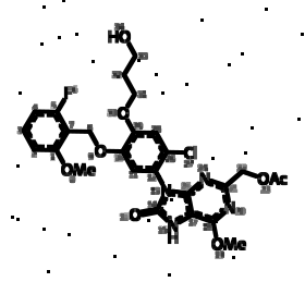 COc1cccc(F)c1COc1cc(-n2c(=O)[nH]c3c(OC)nc(COC(C)=O)nc32)c(Cl)cc1OCCCO